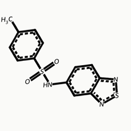 Cc1ccc(S(=O)(=O)Nc2ccc3nsnc3c2)cc1